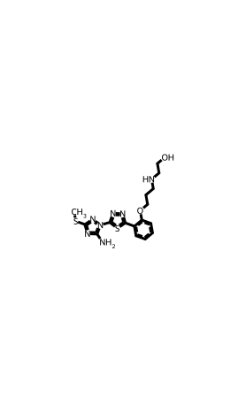 CSc1nc(N)n(-c2nnc(-c3ccccc3OCCCNCCO)s2)n1